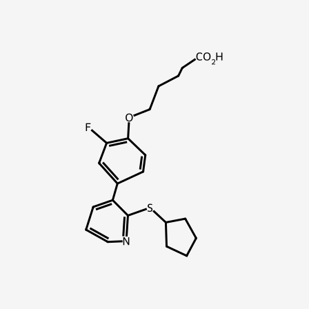 O=C(O)CCCCOc1ccc(-c2cccnc2SC2CCCC2)cc1F